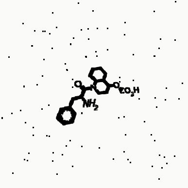 N[C@@H](Cc1ccccc1)C(=O)N1CCC(OC(=O)O)C2CCCCC21